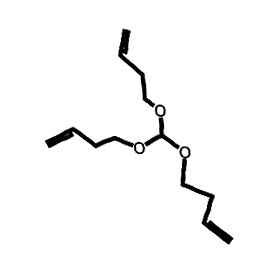 C=CCCOC(OCCC=C)OCCC=C